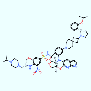 CC(C)Oc1ccccc1[C@@H]1CCCN1C1CC2(CCN(c3ccc(C(=O)NS(=O)(=O)c4cc5c(c([N+](=O)[O-])c4)N[C@H](CN4CCN(C(C)C)CC4)CO5)c(N4c5cc6cc[nH]c6nc5O[C@@H]5COC[C@H]54)c3)CC2)C1